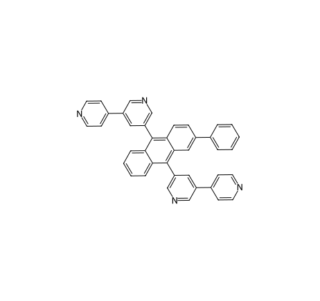 c1ccc(-c2ccc3c(-c4cncc(-c5ccncc5)c4)c4ccccc4c(-c4cncc(-c5ccncc5)c4)c3c2)cc1